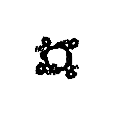 Oc1ccccc1C1=C2C=CC(=N2)C(c2ccccc2O)=c2ccc([nH]2)=C(c2ccccc2O)C2=NC(=C(c3ccccc3O)C3CCC1N3)C=C2